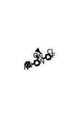 O=c1c2cc(N3CCN4CCC3CC4)ccc2nc(-c2ccc(F)c(Cl)c2)n1CC1CC1